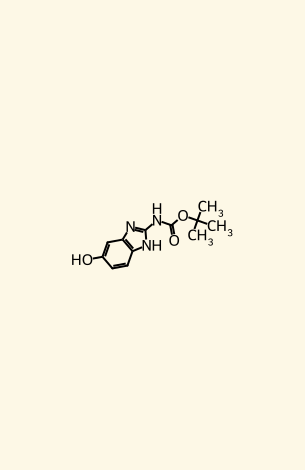 CC(C)(C)OC(=O)Nc1nc2cc(O)ccc2[nH]1